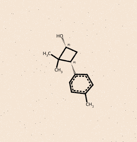 Cc1ccc([C@H]2C[C@@H](O)C2(C)C)cc1